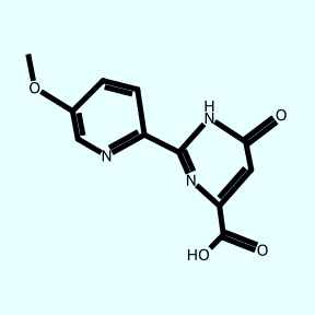 COc1ccc(-c2nc(C(=O)O)cc(=O)[nH]2)nc1